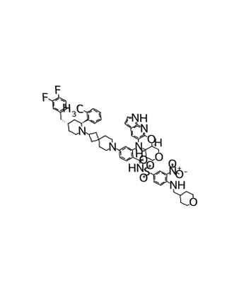 Cc1ccccc1[C@@H]1C[C@@H](Cc2ccc(F)c(F)c2)CCN1C1CC2(CCN(c3ccc(C(=O)NS(=O)(=O)c4ccc(NCC5CCOCC5)c([N+](=O)[O-])c4)c(N4c5cc6cc[nH]c6nc5O[C@H]5COCC[C@@H]54)c3)CC2)C1